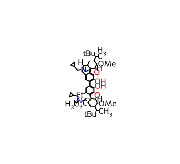 CCc1cc(-c2cc3c4c(c2O)O[C@H]2[C@H](OC)[C@@H]([C@@H](C)C(C)(C)C)CC5[C@@H](C3)N(CC3CC3)CC[C@@]452)c(O)c2c1[C@]1(CCN(C)CC3CC3)C(C)C[C@H]([C@@H](C)C(C)(C)C)[C@@H](OC)[C@@H]1O2